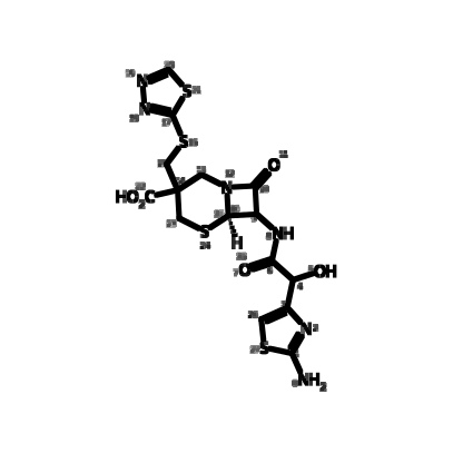 Nc1nc(C(O)C(=O)NC2C(=O)N3CC(CSc4nncs4)(C(=O)O)CS[C@H]23)cs1